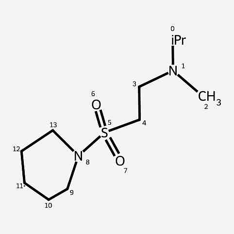 CC(C)N(C)CCS(=O)(=O)N1CC[CH]CC1